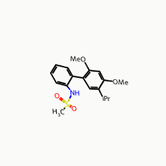 COc1cc(OC)c(C(C)C)cc1-c1ccccc1NS(C)(=O)=O